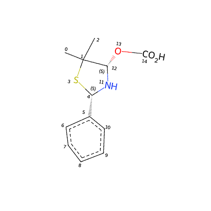 CC1(C)S[C@@H](c2ccccc2)N[C@H]1OC(=O)O